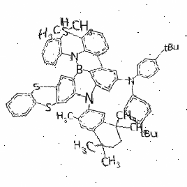 Cc1cc2c(cc1N1c3cc4c(cc3B3c5c(cc(N(c6ccc(C(C)(C)C)cc6)c6ccc(C(C)(C)C)cc6)cc51)-c1cccc5c1N3c1ccccc1[SH]5(C)(C)I)Sc1ccccc1S4)C(C)(C)CCC2(C)C